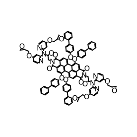 O=C1c2cc(Oc3ccc(-c4ccccc4)cc3)c3c4c(Oc5ccc(-c6ccccc6)cc5)cc5c6c(cc(Oc7ccc(-c8ccccc8)cc7)c(c7c(Oc8ccc(-c9ccccc9)cc8)cc(c2c37)C(=O)N1CC(=O)N(c1cc(OCC2CO2)ccn1)c1cc(OCC2CO2)ccn1)c64)C(=O)N(CC(=O)N(c1cc(OCC2CO2)ccn1)c1cc(OCC2CO2)ccn1)C5=O